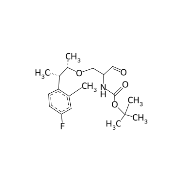 Cc1cc(F)ccc1[C@H](C)[C@H](C)OCC(C=O)NC(=O)OC(C)(C)C